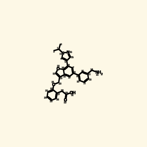 CC(C)n1cc(-c2cc(-c3cccc(CN)c3)cc3c(COc4ccccc4CC(=O)O)coc23)cn1